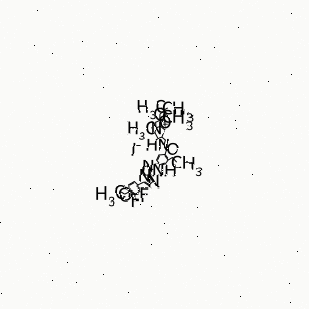 CCc1cc(Nc2nccn3c(-c4ccc(OC)c(F)c4F)cnc23)ccc1C(=O)NCC1CC[N+](C)(CC(=O)OC(C)(C)C)CC1.[I-]